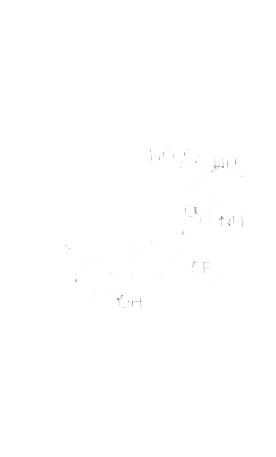 N=S(=O)(CCC(c1ccc(-c2cc(F)ccc2O)cc1)C(F)(F)F)CC[C@H](N)C(=O)O